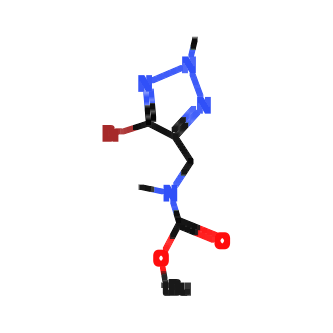 CN(Cc1nn(C)nc1Br)C(=O)OC(C)(C)C